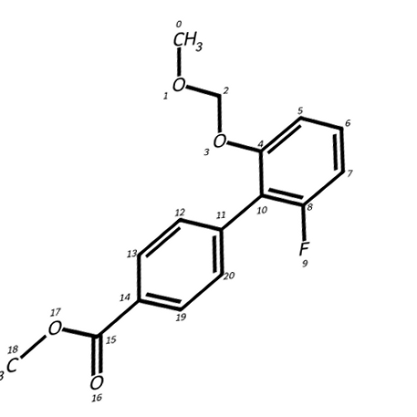 COCOc1cccc(F)c1-c1ccc(C(=O)OC)cc1